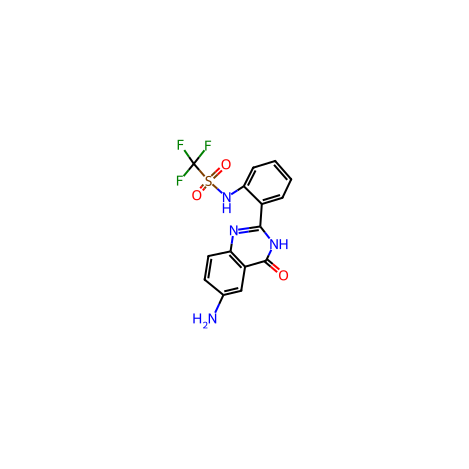 Nc1ccc2nc(-c3ccccc3NS(=O)(=O)C(F)(F)F)[nH]c(=O)c2c1